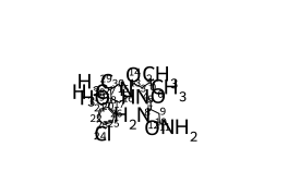 CC(C)[C@@H](NC(=O)[C@H](N)CC(N)=O)C(=O)N1CC[C@](O)(c2ccc(Cl)cc2)C(C)(C)C1